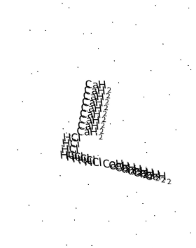 Cl.Cl.Cl.Cl.Cl.Cl.Cl.Cl.[CaH2].[CaH2].[CaH2].[CaH2].[CaH2].[CaH2].[CaH2].[CaH2].[CaH2].[CaH2].[CaH2].[CaH2].[CaH2].[CaH2].[CaH2].[CaH2].[CaH2]